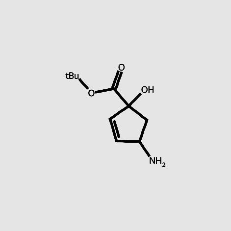 CC(C)(C)OC(=O)C1(O)C=CC(N)C1